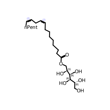 CCCCC/C=C\C/C=C\CCCCCCCC(=O)OC[C@H](O)[C@@H](O)[C@H](O)[C@H](O)CO